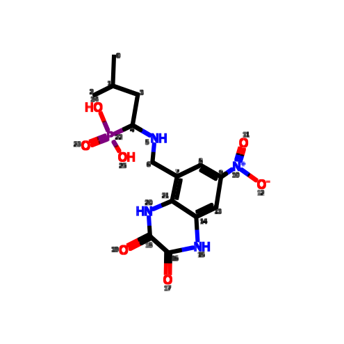 CC(C)CC(NCc1cc([N+](=O)[O-])cc2[nH]c(=O)c(=O)[nH]c12)P(=O)(O)O